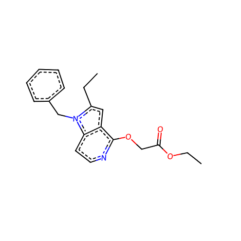 CCOC(=O)COc1nccc2c1cc(CC)n2Cc1ccccc1